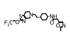 Cc1ncc(CC(=O)N[C@H]2CC[C@H](CCN3CCc4sc(OCC(F)(F)F)nc4C3)CC2)o1